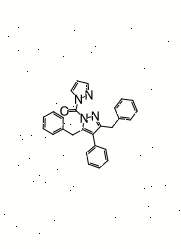 O=C(n1cccn1)n1nc(Cc2ccccc2)c(-c2ccccc2)c1Cc1ccccc1